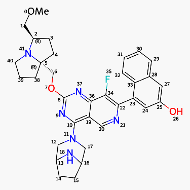 COC[C@H]1CC[C@@]2(COc3nc(N4CC5CCC(C4)N5)c4cnc(-c5cc(O)cc6ccccc56)c(F)c4n3)CCCN12